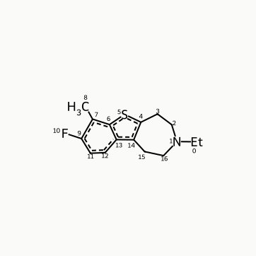 CCN1CCc2sc3c(C)c(F)ccc3c2CC1